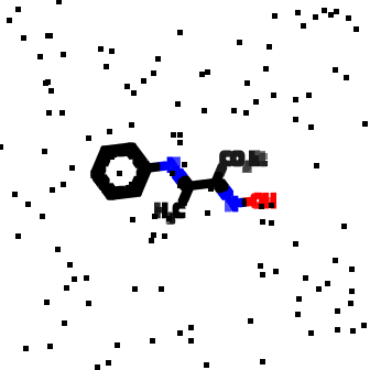 CCOC(=O)C(=N\O)/C(C)=N/c1ccccc1